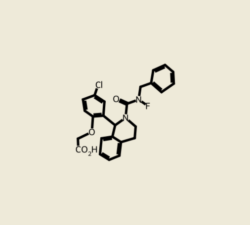 O=C(O)COc1ccc(Cl)cc1C1c2ccccc2CCN1C(=O)N(F)Cc1ccccc1